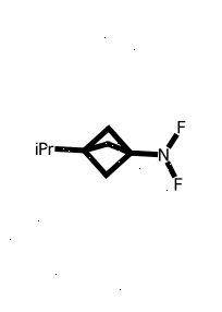 CC(C)C12CC(N(F)F)(C1)C2